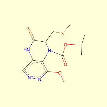 COc1nncc2c1N(C(=O)OC(C)C)C(CSC)C(=S)N2